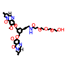 C=C1C[C@H]2C=Nc3cc(OCc4cc(C#CCNC(=O)CCOCCOCCOCCO)cc(COc5cc6c(cc5OC)C(=O)N5CC(=C)C[C@H]5C=N6)c4)c(OC)cc3C(=O)N2C1